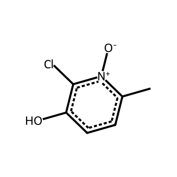 Cc1ccc(O)c(Cl)[n+]1[O-]